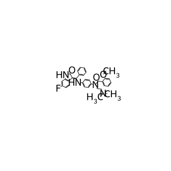 COc1ccccc1C(=O)N(CCN(C)C)c1ccc(NC(=C2C(=O)Nc3cc(F)ccc32)c2ccccc2)cc1